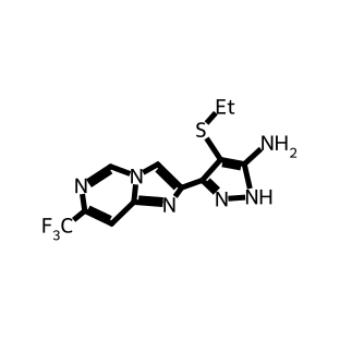 CCSc1c(-c2cn3cnc(C(F)(F)F)cc3n2)n[nH]c1N